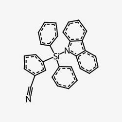 N#Cc1cccc([Si](c2ccccc2)(c2ccccc2)n2c3ccccc3c3ccccc32)c1